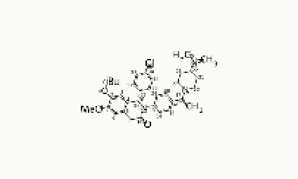 CCC(C)Oc1cc2c(cc1OC)CC(=O)N(c1ccc([C@@H](C)N3CCC(N(C)C)CC3)cc1)[C@H]2c1ccc(Cl)cc1